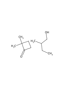 CC1(C)CCC1=O.CCC(C)CO